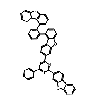 C1=CCC2C(=C1)Oc1cccc(-c3ccccc3-c3cccc4oc5cc(-c6nc(-c7ccccc7)nc(-c7ccc8c(c7)oc7ccccc78)n6)ccc5c34)c12